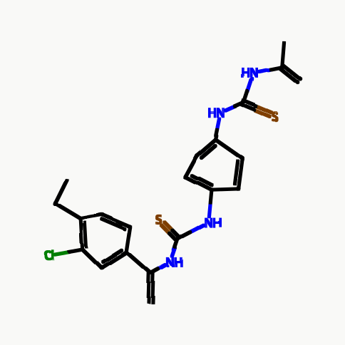 C=C(C)NC(=S)Nc1ccc(NC(=S)NC(=C)c2ccc(CC)c(Cl)c2)cc1